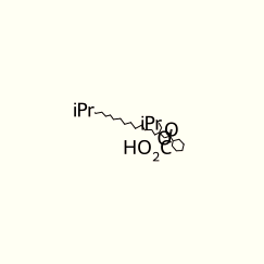 CC(C)CCCCCCCCCCCCCC(CC(C)C)OC(=O)C1CCCCC1C(=O)O